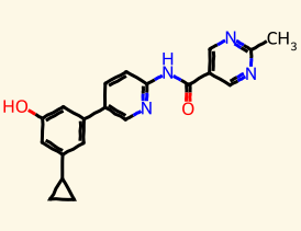 Cc1ncc(C(=O)Nc2ccc(-c3cc(O)cc(C4CC4)c3)cn2)cn1